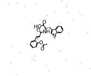 CC(=O)Oc1ccccc1/C=C/C(=O)N[C@@H](Cc1cn(C)c2ccccc12)C(=O)O